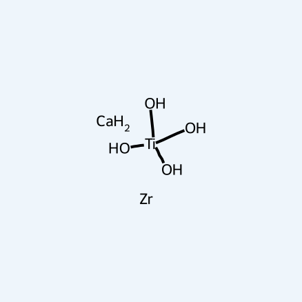 [CaH2].[OH][Ti]([OH])([OH])[OH].[Zr]